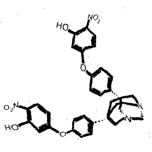 O=[N+]([O-])c1ccc(Oc2ccc([C@]34C[N@@]5C[N@](C[C@@](c6ccc(Oc7ccc([N+](=O)[O-])c(O)c7)cc6)(C5)C3)C4)cc2)cc1O